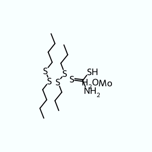 CCCCSSCCCC.CCCSSCCC.NC(=S)S.O.[Mo]